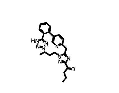 CCCCn1nc(C(=O)CCC)nc1Cc1ccc(-c2ccccc2-c2nnn[nH]2)cn1